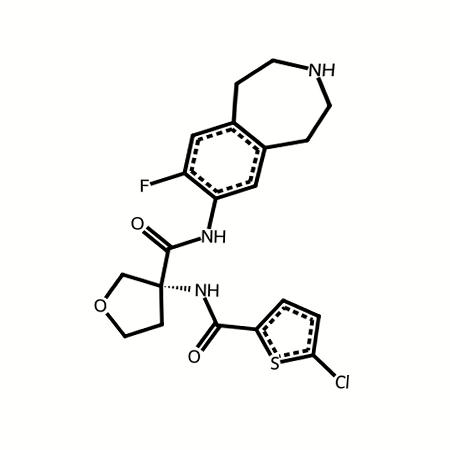 O=C(N[C@]1(C(=O)Nc2cc3c(cc2F)CCNCC3)CCOC1)c1ccc(Cl)s1